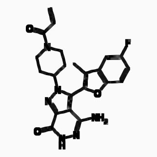 C=CC(=O)N1CCC(n2nc3c(=O)[nH]nc(N)c3c2-c2oc3ccc(F)cc3c2C)CC1